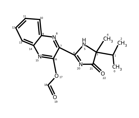 CC(C)C1(C)NC(c2nc3ccccc3nc2OC=O)=NC1=O